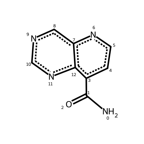 NC(=O)c1ccnc2cncnc12